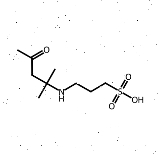 CC(=O)CC(C)(C)NCCCS(=O)(=O)O